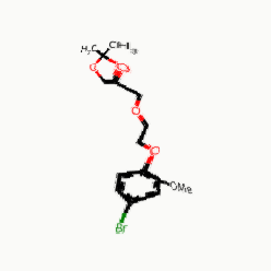 COc1cc(Br)ccc1OCCOCC1COC(C)(C)O1